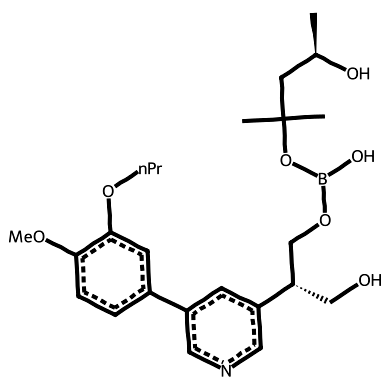 CCCOc1cc(-c2cncc([C@@H](CO)COB(O)OC(C)(C)C[C@@H](C)O)c2)ccc1OC